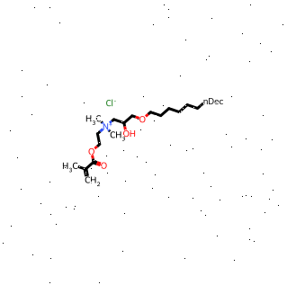 C=C(C)C(=O)OCC[N+](C)(C)CC(O)COCCCCCCCCCCCCCCCC.[Cl-]